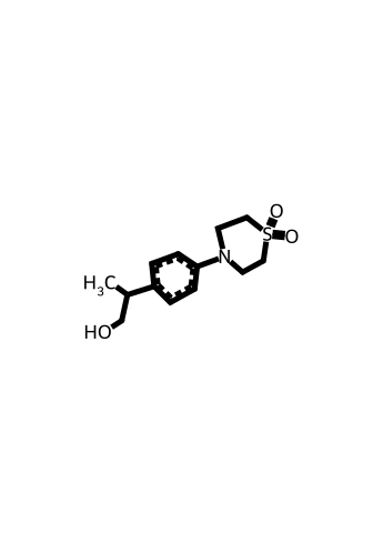 CC(CO)c1ccc(N2CCS(=O)(=O)CC2)cc1